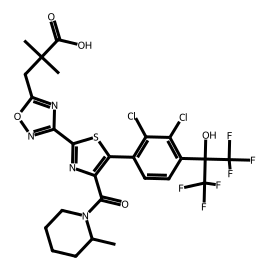 CC1CCCCN1C(=O)c1nc(-c2noc(CC(C)(C)C(=O)O)n2)sc1-c1ccc(C(O)(C(F)(F)F)C(F)(F)F)c(Cl)c1Cl